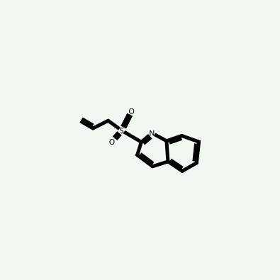 C=CCS(=O)(=O)c1ccc2ccccc2n1